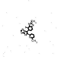 Cc1cccc(-c2nc3scnn3c2-c2ccc3nn(C)nc3c2I)n1